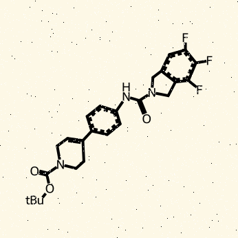 CC(C)(C)OC(=O)N1CC=C(c2ccc(NC(=O)N3Cc4cc(F)c(F)c(F)c4C3)cc2)CC1